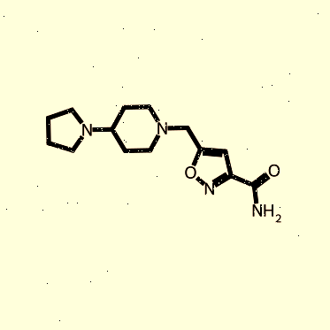 NC(=O)c1cc(CN2CCC(N3CCCC3)CC2)on1